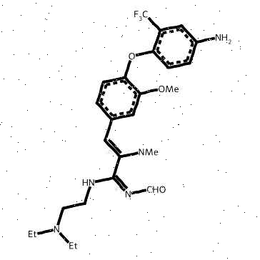 CCN(CC)CCNC(=N/C=O)/C(=C/c1ccc(Oc2ccc(N)cc2C(F)(F)F)c(OC)c1)NC